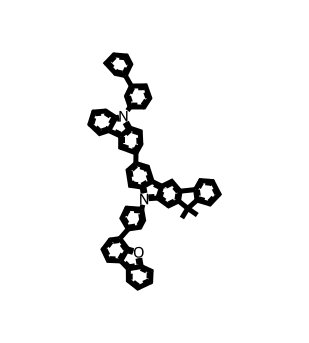 CC1(C)c2ccccc2-c2cc3c4cc(-c5ccc6c(c5)c5ccccc5n6-c5cccc(-c6ccccc6)c5)ccc4n(-c4ccc(-c5cccc6c5oc5ccccc56)cc4)c3cc21